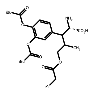 CCC(C)C(=O)Oc1ccc(C(C(C)COC(=O)CC(C)C)[C@H](N)C(=O)O)cc1OC(=O)C(C)CC